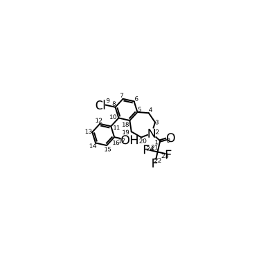 O=C(N1CCc2ccc(Cl)c(-c3ccccc3O)c2CC1)C(F)(F)F